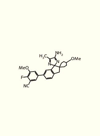 COc1cc(-c2ccc3c(c2)C2(N=C(C)C(N)=N2)C2(CCC(OC)CC2)C3)cc(C#N)c1F